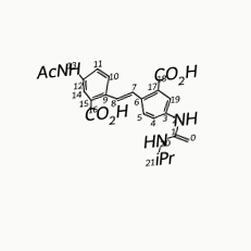 C=C(Nc1ccc(/C=C/c2ccc(NC(C)=O)cc2C(=O)O)c(C(=O)O)c1)NC(C)C